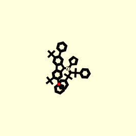 CC(C)(C)c1cc2c(cc1-c1ccccc1)[CH]([Zr](=[C](C(C)(C)c1ccccc1)C(C)(C)c1ccccc1)[CH]1C=CC=C1)c1cc(-c3ccccc3)c(C(C)(C)C)cc1-2